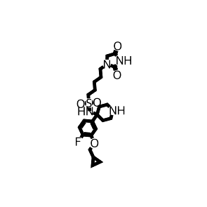 O=C1CN(CCCCCS(=O)(=O)NC2(c3ccc(F)c(OCC4CC4)c3)CCNCC2)C(=O)N1